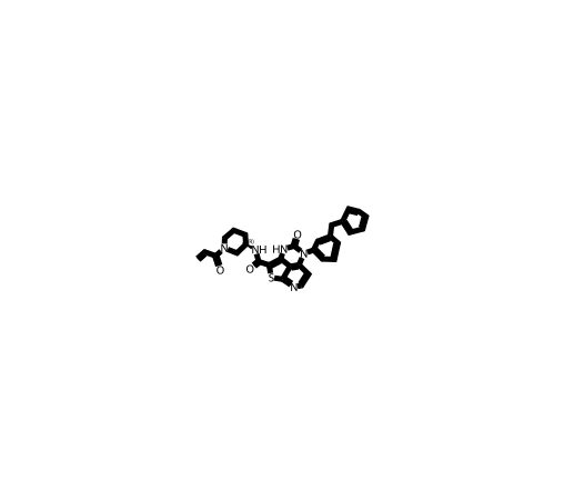 C=CC(=O)N1CCC[C@@H](NC(=O)c2sc3nccc4c3c2NC(=O)N4c2cccc(Cc3ccccc3)c2)C1